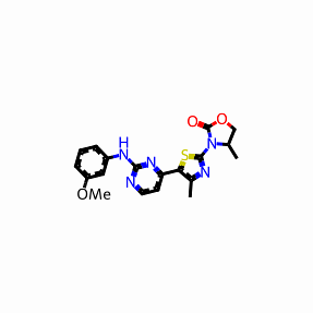 COc1cccc(Nc2nccc(-c3sc(N4C(=O)OCC4C)nc3C)n2)c1